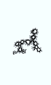 CC1(C)c2ccccc2-c2ccc(N(C3=CCC=C(c4ccc5c6ccccc6n(-c6cc(Br)cc(Br)c6)c5c4)C=C3)c3ccc(C4=CC=CCC=C4)cc3)cc21